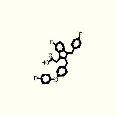 O=C(O)CC1=C(Cc2ccc(Oc3ccc(F)cc3)cc2)/C(=C/c2ccc(F)cc2)c2ccc(F)cc21